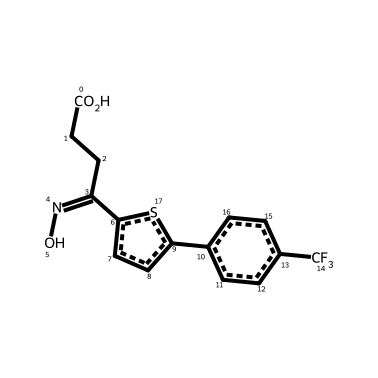 O=C(O)CC/C(=N/O)c1ccc(-c2ccc(C(F)(F)F)cc2)s1